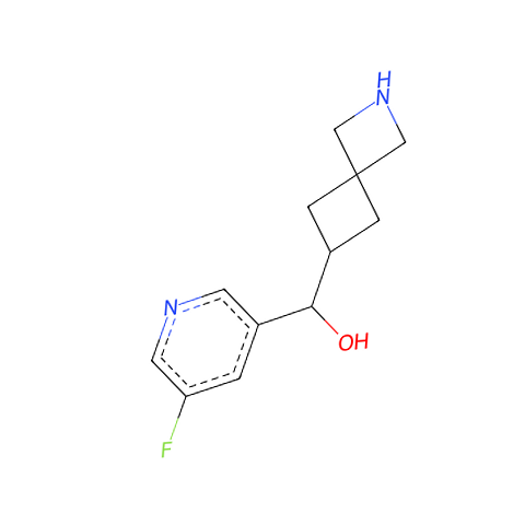 OC(c1cncc(F)c1)C1CC2(CNC2)C1